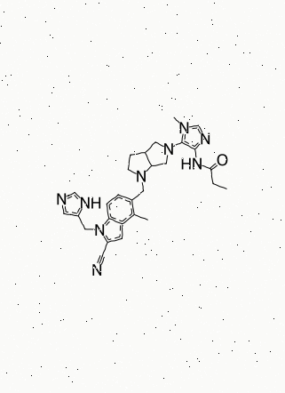 CCC(=O)Nc1ncn(C)c1N1CC2CCN(Cc3ccc4c(cc(C#N)n4Cc4cnc[nH]4)c3C)C2C1